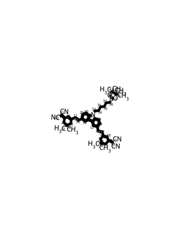 CC1(C)CC(/C=C/c2ccc3c(c2)c2cc(/C=C/C4=CC(=C(C#N)C#N)CC(C)(C)C4)ccc2n3CCCCCCB2OC(C)(C)C(C)(C)O2)=CC(=C(C#N)C#N)C1